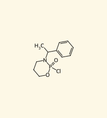 CC(c1ccccc1)N1CCCOP1(=O)Cl